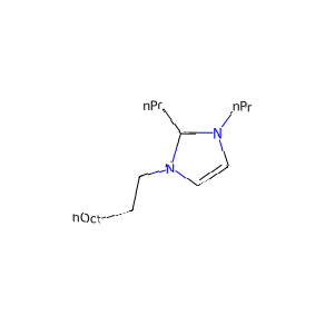 CCCCCCCCCCN1C=CN(CCC)C1CCC